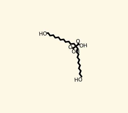 O=C(O)C(CCCCCCCCCCCO)(CCCCCCCCCCCO)C(=O)O